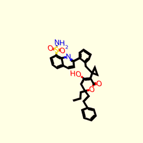 CCCC1(CCc2ccccc2)CC(O)=C(C2(Cc3ccccc3-c3ccc4cccc(S(N)(=O)=O)c4n3)CC2)C(=O)O1